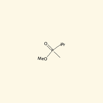 COP(C)(=O)C(C)C